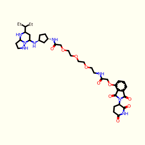 CCC(CC)C1CC(N[C@H]2CC[C@H](NC(=O)COCCOCCOCCNC(=O)COc3cccc4c3C(=O)N(C3CCC(=O)NC3=O)C4=O)C2)N2NCCC2N1